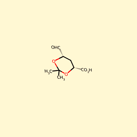 CC1(C)O[C@H](C=O)C[C@H](C(=O)O)O1